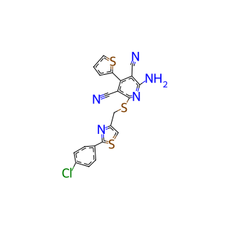 N#Cc1c(N)nc(SCc2csc(-c3ccc(Cl)cc3)n2)c(C#N)c1-c1cccs1